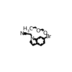 CCOC=O.N#CCn1ccc2ccc(Br)cc21